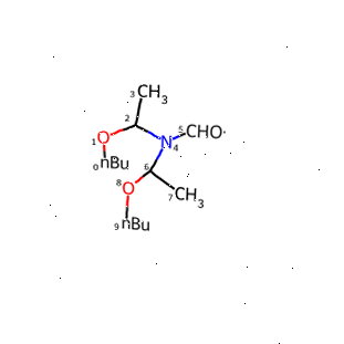 CCCCOC(C)N([C]=O)C(C)OCCCC